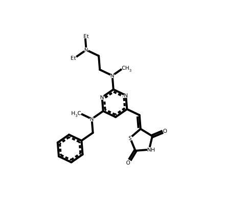 CCN(CC)CCN(C)c1nc(/C=C2\SC(=O)NC2=O)cc(N(C)Cc2ccccc2)n1